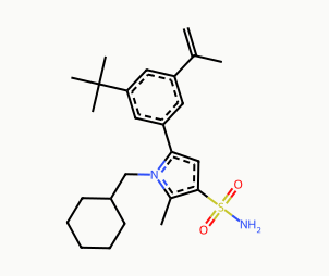 C=C(C)c1cc(-c2cc(S(N)(=O)=O)c(C)n2CC2CCCCC2)cc(C(C)(C)C)c1